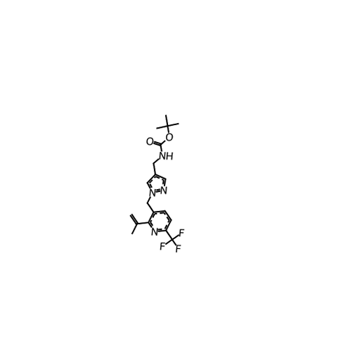 C=C(C)c1nc(C(F)(F)F)ccc1Cn1cc(CNC(=O)OC(C)(C)C)cn1